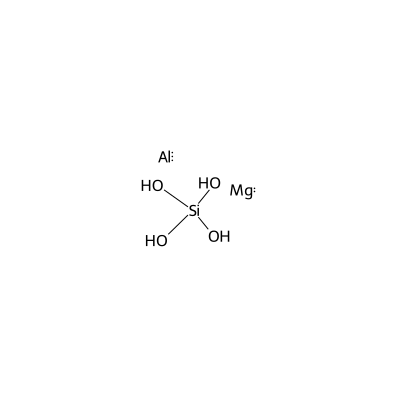 O[Si](O)(O)O.[Al].[Mg]